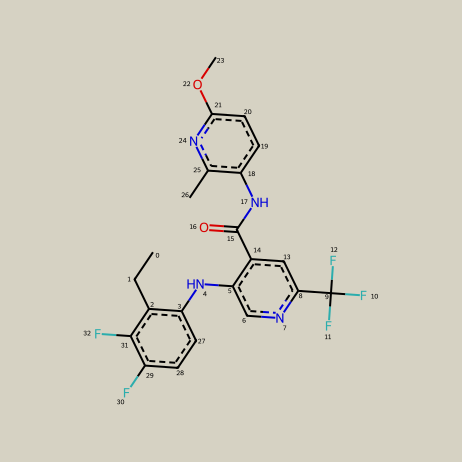 CCc1c(Nc2cnc(C(F)(F)F)cc2C(=O)Nc2ccc(OC)nc2C)ccc(F)c1F